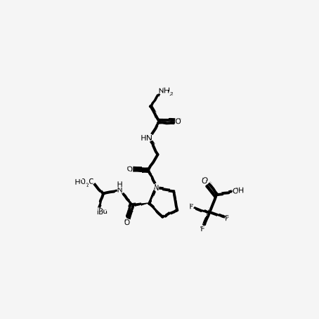 CCC(C)C(NC(=O)[C@@H]1CCCN1C(=O)CNC(=O)CN)C(=O)O.O=C(O)C(F)(F)F